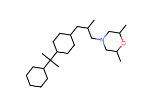 CC(CC1CCC(C(C)(C)C2CCCCC2)CC1)CN1CC(C)OC(C)C1